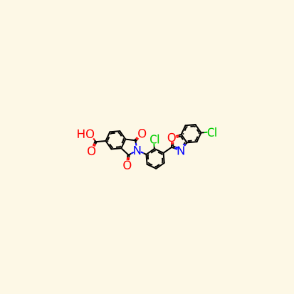 O=C(O)c1ccc2c(c1)C(=O)N(c1cccc(-c3nc4cc(Cl)ccc4o3)c1Cl)C2=O